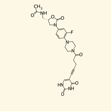 CC(=O)NC[C@H]1CN(c2ccc(N3CCN(C(=O)CCC#Cc4c[nH]c(=O)[nH]c4=O)CC3)c(F)c2)C(=O)O1